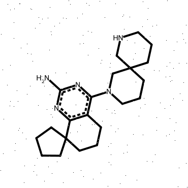 Nc1nc(N2CCCC3(CCCNC3)C2)c2c(n1)C1(CCCC1)CCC2